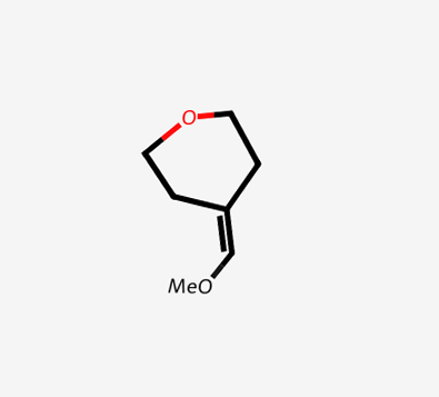 COC=C1CCOCC1